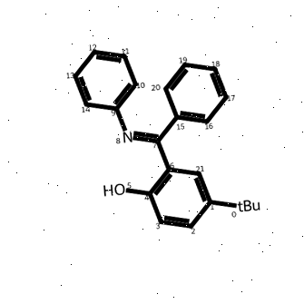 CC(C)(C)c1ccc(O)c(C(=Nc2ccccc2)c2ccccc2)c1